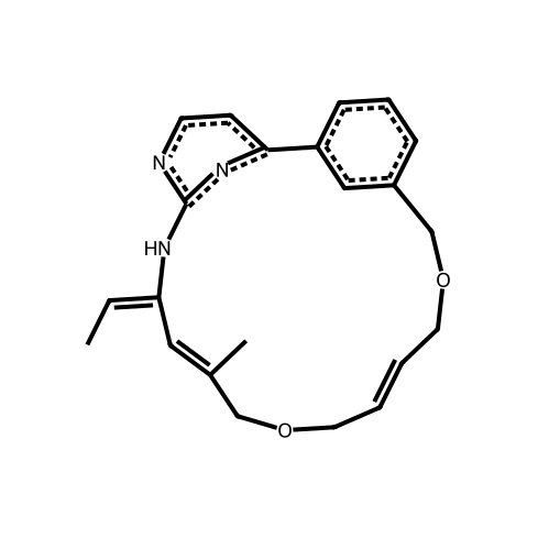 C/C=C1\C=C(/C)COC/C=C/COCc2cccc(c2)-c2ccnc(n2)N1